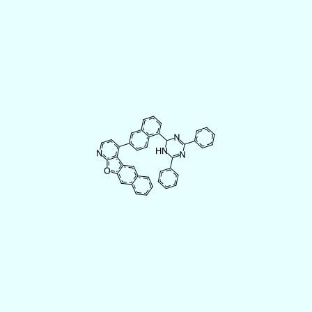 c1ccc(C2=NC(c3cccc4cc(-c5ccnc6oc7cc8ccccc8cc7c56)ccc34)NC(c3ccccc3)=N2)cc1